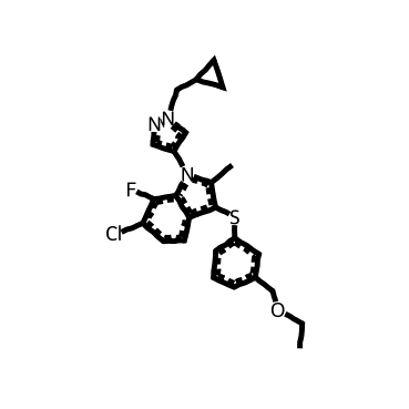 CCOCc1cccc(Sc2c(C)n(-c3cnn(CC4CC4)c3)c3c(F)c(Cl)ccc23)c1